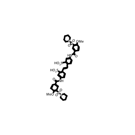 COc1ccc(C(=O)Nc2ccc(/C=C/c3ccc(NC(=O)c4ccc(OC)c(S(=O)(=O)N5CCCCC5)c4)cc3S(=O)(=O)O)c(S(=O)(=O)O)c2)cc1S(=O)(=O)N1CCCCC1